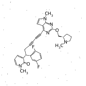 CN1CCC[C@@H]1COc1nc(C#CC#CCC(c2cc(F)ccc2F)c2cccn(C)c2=O)c2ccn(C)c2n1